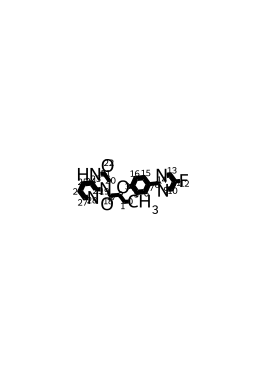 CCC(Oc1ccc(-c2ncc(F)cn2)cc1)C(=O)N1CC(=O)Nc2cccnc21